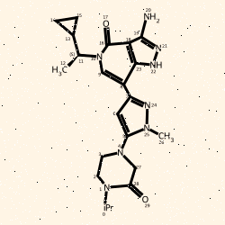 CC(C)N1CCN(c2cc(-c3cn([C@@H](C)C4CC4)c(=O)c4c(N)n[nH]c34)nn2C)CC1=O